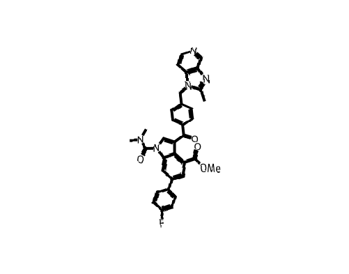 COC(=O)c1cc(-c2ccc(F)cc2)cc2c1c(C(=O)c1ccc(Cn3c(C)nc4cnccc43)cc1)cn2C(=O)N(C)C